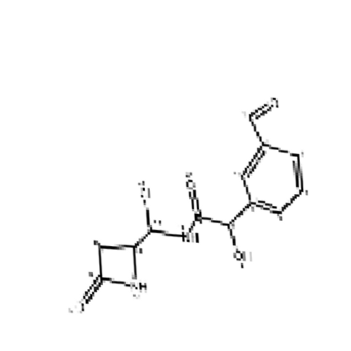 O=Cc1cccc(C(O)C(=O)NC(Cl)C2CC(=O)N2)c1